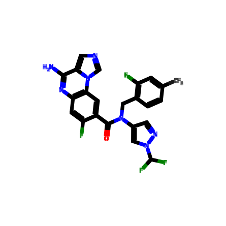 Nc1nc2cc(F)c(C(=O)N(Cc3ccc(C(F)(F)F)cc3F)c3cnn(C(F)F)c3)cc2n2cncc12